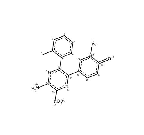 Cc1ccccc1-c1nc(N)c(C(=O)O)nc1-c1ccc(=O)n(C(C)C)c1